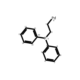 [Pd][CH2]CP(c1ccccc1)c1ccccc1